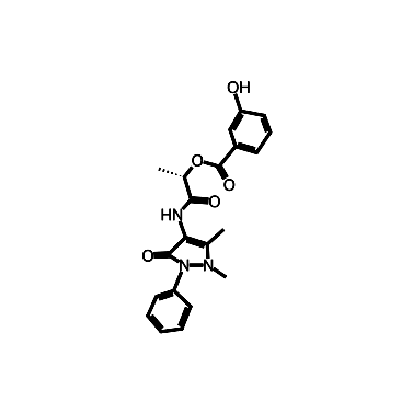 Cc1c(NC(=O)[C@H](C)OC(=O)c2cccc(O)c2)c(=O)n(-c2ccccc2)n1C